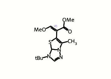 CO/C=C(/C(=O)OC)C1=C(C)N2N=CN(C(C)(C)C)C2S1